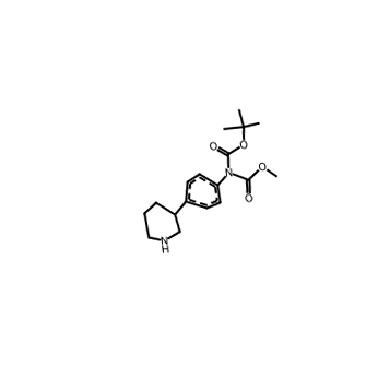 COC(=O)N(C(=O)OC(C)(C)C)c1ccc(C2CCCNC2)cc1